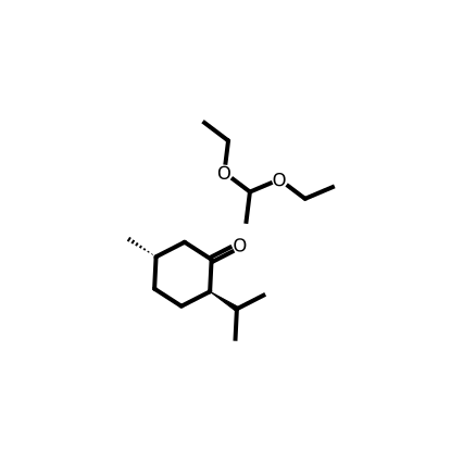 CC(C)[C@H]1CC[C@H](C)CC1=O.CCOC(C)OCC